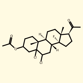 CC(=O)OC1CC[C@]2(C)[C@H]3CC[C@]4(C)[C@@H](C(C)=O)CC[C@@]4(F)[C@@H]3CC(Cl)C2(Cl)C1